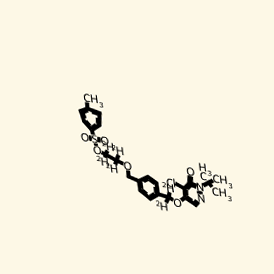 [2H]C([2H])(Oc1cnn(C(C)(C)C)c(=O)c1Cl)c1ccc(COC([2H])([2H])C([2H])([2H])OS(=O)(=O)c2ccc(C)cc2)cc1